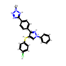 CCn1nnc(-c2ccc(-c3nn(-c4ccccc4)cc3Sc3ccc(Cl)cc3)cc2)n1